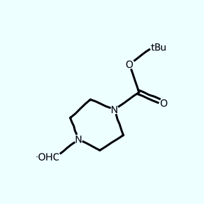 CC(C)(C)OC(=O)N1CCN([C]=O)CC1